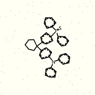 S=P(c1ccccc1)(c1ccccc1)c1ccc(C2(c3ccc(N(c4ccccc4)c4ccccc4)cc3)CCCCC2)cc1